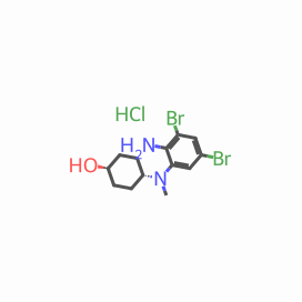 CN(c1cc(Br)cc(Br)c1N)[C@H]1CC[C@H](O)CC1.Cl